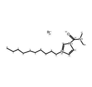 CCCCCCCCCC[n+]1ccn(C(=O)N(C)C)c1.[Br-]